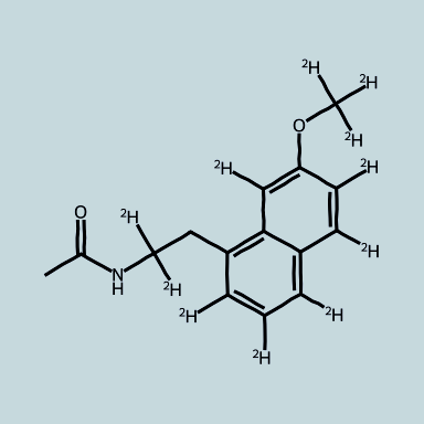 [2H]c1c([2H])c(CC([2H])([2H])NC(C)=O)c2c([2H])c(OC([2H])([2H])[2H])c([2H])c([2H])c2c1[2H]